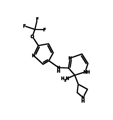 NC1(C2CNC2)NC=CN=C1Nc1ccc(OC(F)(F)F)nc1